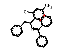 FC(F)(F)c1cnc(C(Cc2ccccc2)N=C(c2ccccc2)c2ccccc2)c(Cl)c1